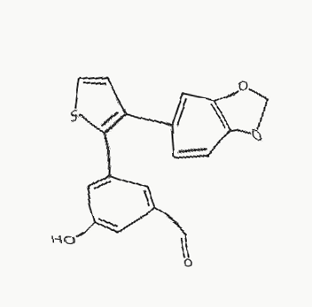 O=Cc1cc(O)cc(-c2sccc2-c2ccc3c(c2)OCO3)c1